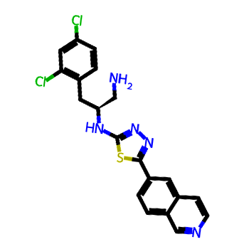 NC[C@H](Cc1ccc(Cl)cc1Cl)Nc1nnc(-c2ccc3cnccc3c2)s1